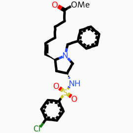 COC(=O)CCC/C=C\[C@@H]1C[C@@H](NS(=O)(=O)c2ccc(Cl)cc2)CN1Cc1ccccc1